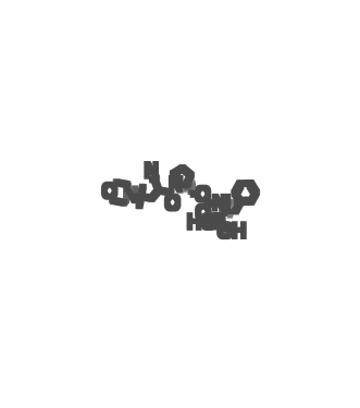 CC(C)(CC(C#N)C(=O)N1CCC[C@@H]1COC(=O)N[C@@H](Cc1ccccc1)B(O)O)N1CCOCC1